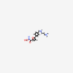 CN(C)CCCN(C)Cc1ccc(-c2ccc(C(=O)NO)o2)cc1